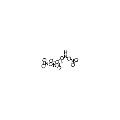 CC1(C)c2cc(Nc3ccc(-n4c5ccccc5c5ccccc54)cc3)ccc2-c2cc(-c3ccccc3)c(Nc3ccc(-n4c5ccccc5c5ccccc54)cc3)c(-c3ccccc3)c21